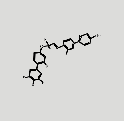 CCCc1ccc(-c2ccc(/C=C/C(F)(F)Oc3ccc(-c4cc(F)c(F)c(F)c4)c(F)c3)c(F)c2)nc1